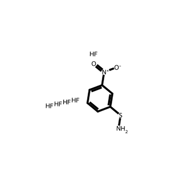 F.F.F.F.F.NSc1cccc([N+](=O)[O-])c1